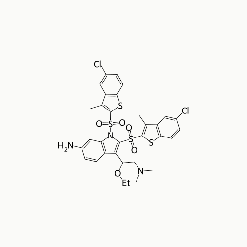 CCOC(CN(C)C)c1c(S(=O)(=O)c2sc3ccc(Cl)cc3c2C)n(S(=O)(=O)c2sc3ccc(Cl)cc3c2C)c2cc(N)ccc12